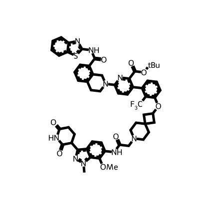 COc1c(NC(=O)CN2CCC3(CC2)CC(Oc2cccc(-c4ccc(N5CCc6cccc(C(=O)Nc7nc8ccccc8s7)c6C5)nc4C(=O)OC(C)(C)C)c2C(F)(F)F)C3)ccc2c(C3CCC(=O)NC3=O)nn(C)c12